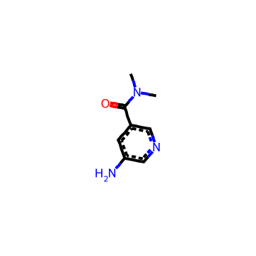 CN(C)C(=O)c1cncc(N)c1